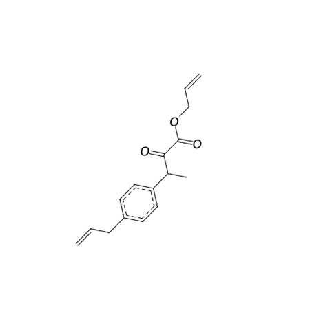 C=CCOC(=O)C(=O)C(C)c1ccc(CC=C)cc1